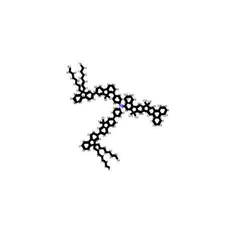 CCCCCCCCC1(CCCCCCCC)c2ccccc2-c2ccc(-c3ccc4c(c3)C(C)(C)c3cc(-c5ccc(N(c6ccc(-c7cccc8c7C(C)(C)c7cc(-c9ccc%10c(c9)C(CCCCCCCC)(CCCCCCCC)c9ccccc9-%10)ccc7-8)cc6)c6cc7c(c8ccccc68)-c6cc8c(cc6C7(C)C)-c6cc7c9ccccc9c9ccccc9c7cc6C8(C)C)cc5)ccc3-4)cc21